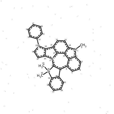 Cn1c2cccc3c4c(n5c6ccn(-c7ccccc7)c6c6ccc1c(c32)c65)[Si](C)(C)c1ccccc1-4